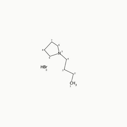 Br.CCCCN1CCCC1